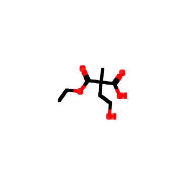 CCOC(=O)C(C)(CCO)C(=O)O